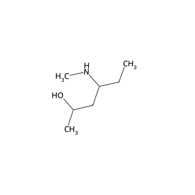 CCC(CC(C)O)NC